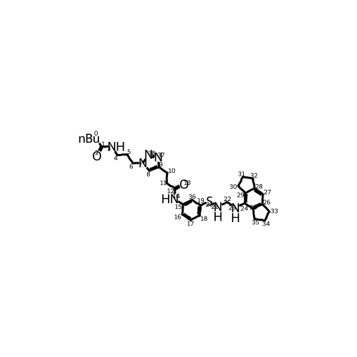 CCCCC(=O)NCCCn1cc(CCC(=O)Nc2cccc(SNCNc3c4c(cc5c3CCC5)CCC4)c2)nn1